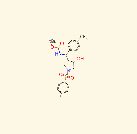 Cc1ccc(S(=O)(=O)N2C[C@H]([C@@H](NC(=O)OC(C)(C)C)c3ccc(C(F)(F)F)cc3)[C@H](O)C2)cc1